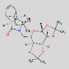 CC(C)/C=C1\C2C=CC1[C@@H]1C(=O)N(C[C@H]3O[C@@H]4OC(C)(C)O[C@@H]4[C@H]4OC(C)(C)O[C@H]43)C(=O)[C@H]21